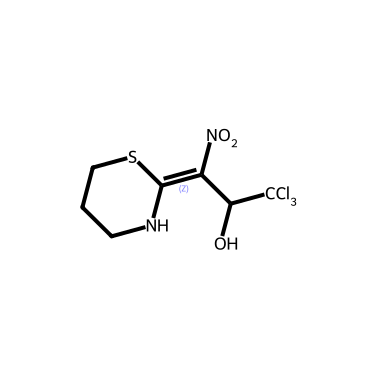 O=[N+]([O-])/C(=C1/NCCCS1)C(O)C(Cl)(Cl)Cl